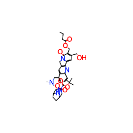 CCCC(=O)OCc1c(CO)cc2n(c1=O)Cc1cc3c(CN(C)C)c(OC(=O)N4C5CCC4CN(C(=O)OC(C)(C)C)C5)ccc3nc1-2